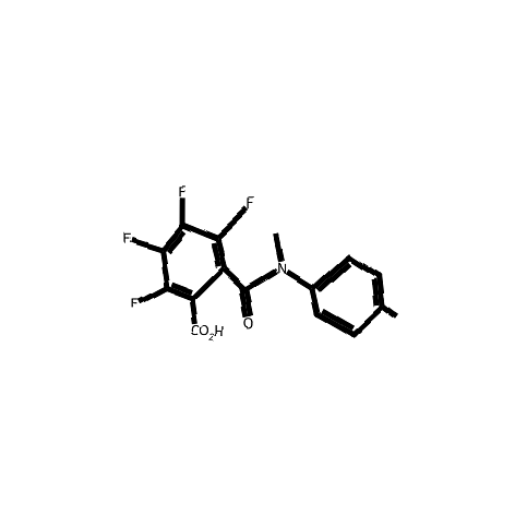 Cc1ccc(N(C)C(=O)c2c(F)c(F)c(F)c(F)c2C(=O)O)cc1